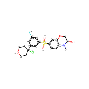 CN1C(=O)COc2cc(S(=O)(=O)c3cc(F)cc(C4(Cl)CCOCC4)c3)ccc21